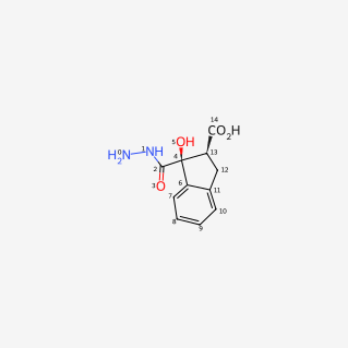 NNC(=O)[C@@]1(O)c2ccccc2C[C@@H]1C(=O)O